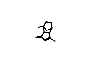 CC12CCC(O1)C1C(Cl)=CC(=O)C12